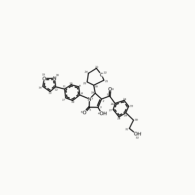 O=C(C1=C(O)C(=O)N(c2ccc(-c3ccon3)cc2)C1C1CCCCC1)c1ccc(CCO)cc1